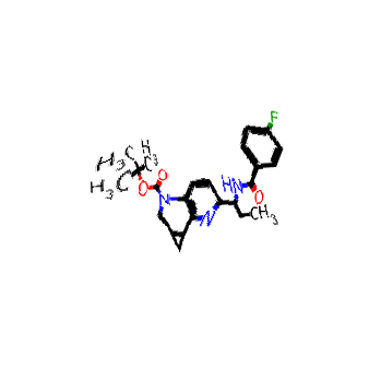 CCC(NC(=O)c1ccc(F)cc1)c1ccc2c(n1)C1CC1CN2C(=O)OC(C)(C)C